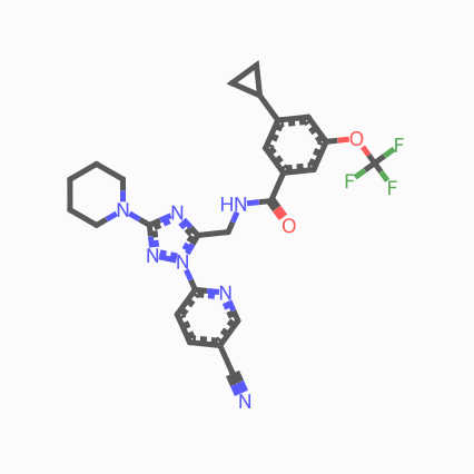 N#Cc1ccc(-n2nc(N3CCCCC3)nc2CNC(=O)c2cc(OC(F)(F)F)cc(C3CC3)c2)nc1